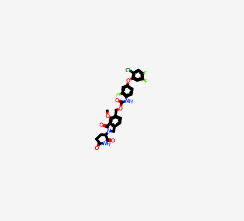 COc1c(COC(=O)Nc2ccc(Oc3cc(F)c(F)cc3Cl)cc2F)ccc2c1C(=O)N(C1CCC(=O)NC1=O)C2